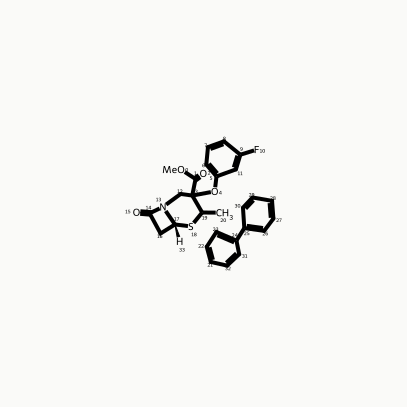 COC(=O)C1(Oc2cccc(F)c2)CN2C(=O)C[C@H]2SC1C.c1ccc(-c2ccccc2)cc1